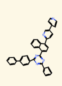 c1ccc(-c2ccc(-c3nc(-c4ccccc4)nc(-c4ccc(-c5ccc(-c6ccncc6)cn5)c5ccccc45)n3)cc2)cc1